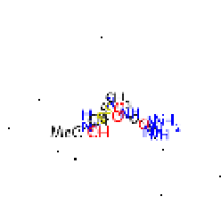 COCCNC(O)/C(C#N)=C/c1ccc(-c2ccc(N(C)CCOC(=O)NCc3ccc(COc4nc(N)nc5[nH]cnc45)cc3)s2)s1